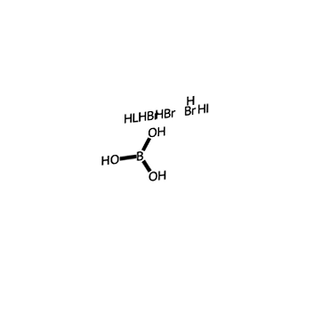 Br.Br.Br.I.OB(O)O.[LiH]